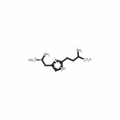 NC(CCc1nc(C[C@H](N)C(=O)O)c[nH]1)C(=O)O